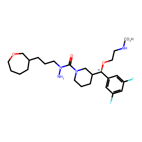 NN(CCCC1CCCCOC1)C(=O)N1CCCC([C@@H](OCCNC(=O)O)c2cc(F)cc(F)c2)C1